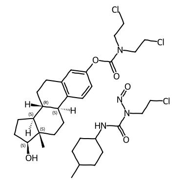 CC1CCC(NC(=O)N(CCCl)N=O)CC1.C[C@]12CC[C@@H]3c4ccc(OC(=O)N(CCCl)CCCl)cc4CC[C@H]3[C@@H]1CC[C@@H]2O